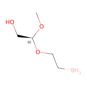 BCCO[C@@H](CO)OC